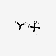 CC(F)F.FC(F)(F)C(F)(F)C(F)(F)F